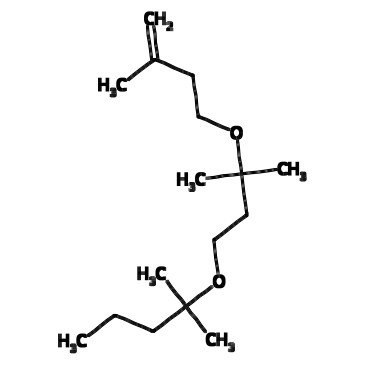 C=C(C)CCOC(C)(C)CCOC(C)(C)CCC